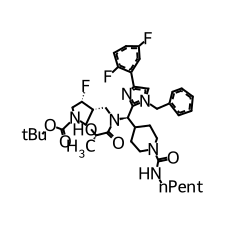 CCCCCNC(=O)N1CCC([C@H](c2nc(-c3cc(F)ccc3F)cn2Cc2ccccc2)N(C[C@@H]2CN(C(=O)OC(C)(C)C)C[C@@H]2F)C(=O)[C@H](C)O)CC1